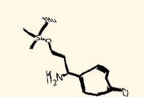 CC(C)(C)[Si](C)(C)OCC[C@H](N)c1ccc(Cl)cc1